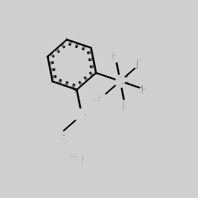 CC[C@@H](C)COc1ccccc1S(F)(F)(F)(F)F